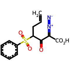 C=CCC(C(=O)C(=[N+]=[N-])C(=O)O)S(=O)(=O)c1ccccc1